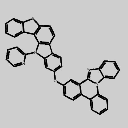 c1ccc(-n2c3cc(Oc4ccc5c6ccccc6n6c7ccccc7nc6c5c4)ccc3c3ccc4sc5ccccc5c4c32)nc1